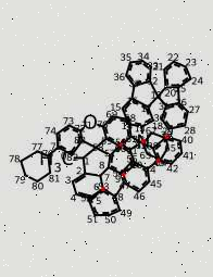 CC1C2=CC=CCC2c2ccc(N(c3ccc4c(c3)C3(c5ccccc5-c5ccccc53)c3ccccc3-4)c3ccccc3-c3ccc(-c4ccccc4)cc3)cc2C12c1cc(C3CCCCC3)ccc1Oc1ccc(C3CCCCC3)cc12